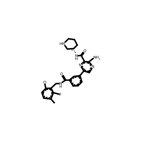 Cc1ccc(Cl)c(CNC(=O)c2cccc(-c3cnc(N)c(C(=O)N[C@H]4CCCNC4)n3)c2)c1F